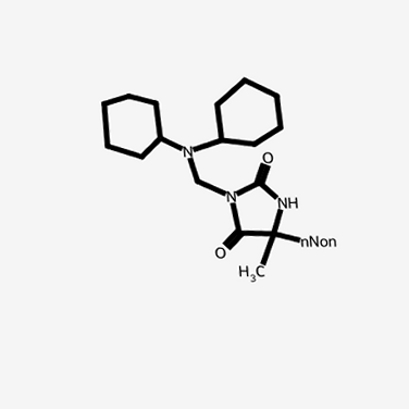 CCCCCCCCCC1(C)NC(=O)N(CN(C2CCCCC2)C2CCCCC2)C1=O